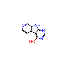 Oc1ncnc2[nH]c3cnccc3c12